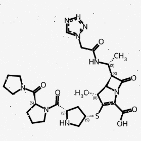 C[C@H]1C(S[C@@H]2CN[C@H](C(=O)N3CCC[C@H]3C(=O)N3CCCC3)C2)=C(C(=O)O)N2C(=O)[C@H]([C@@H](C)NC(=O)Cn3cnnn3)C12